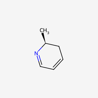 C[C@H]1CC=CC=N1